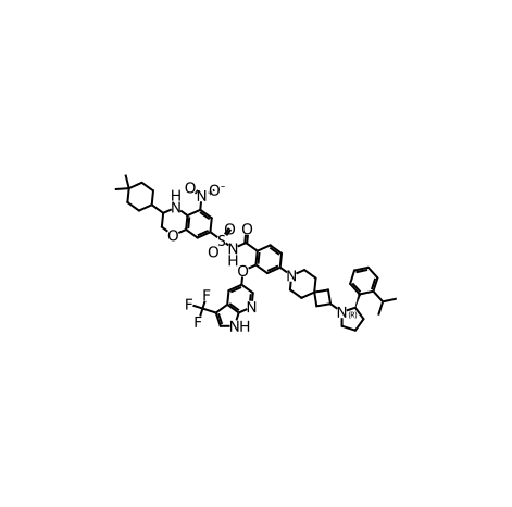 CC(C)c1ccccc1[C@H]1CCCN1C1CC2(CCN(c3ccc(C(=O)NS(=O)(=O)c4cc5c(c([N+](=O)[O-])c4)NC(C4CCC(C)(C)CC4)CO5)c(Oc4cnc5[nH]cc(C(F)(F)F)c5c4)c3)CC2)C1